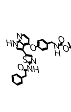 CC(C)(C)OC(=O)NCc1ccc(Oc2ccnc3[nH]cc(-c4cnc(NC(=O)Cc5ccccc5)s4)c23)cc1